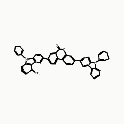 CC1C=C=Cc2c1c1cc(-c3ccc4c(c3)c(=O)oc3cc(-c5ccc6c(c5)c5ccccc5n6C5=CCCC=C5)ccc34)ccc1n2C1=CCCC=C1